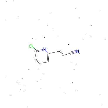 N#CC=Cc1cccc(Cl)n1